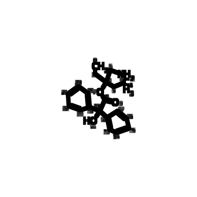 CCC(CC)(CN)OC(=O)C(O)(c1ccccc1)c1ccccc1